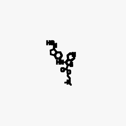 CN(C)CCOC(=O)c1sc2cnccc2c1Nc1ccc2c(c1)CCC2=NO